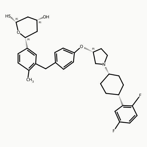 Cc1ccc([C@H]2C[C@@H](O)C[C@@H](S)O2)cc1Cc1ccc(O[C@@H]2CCN([C@H]3CC[C@@H](c4cc(F)ccc4F)CC3)C2)cc1